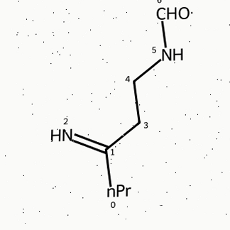 CCCC(=N)CCN[C]=O